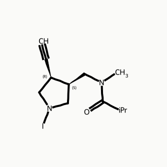 C#C[C@@H]1CN(I)C[C@@H]1CN(C)C(=O)C(C)C